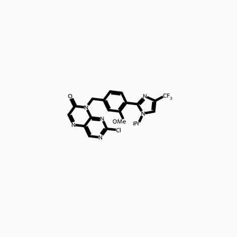 COc1cc(Cn2c(=O)cnc3cnc(Cl)nc32)ccc1-c1nc(C(F)(F)F)cn1C(C)C